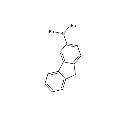 CC(C)(C)N(c1ccc2c(c1)-c1ccccc1C2)C(C)(C)C